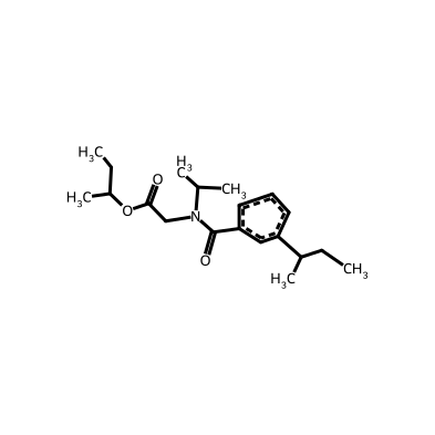 CCC(C)OC(=O)CN(C(=O)c1cccc(C(C)CC)c1)C(C)C